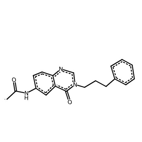 [CH2]C(=O)Nc1ccc2ncn(CCCc3ccccc3)c(=O)c2c1